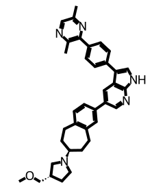 COC[C@H]1CCN([C@H]2CCc3ccc(-c4cnc5[nH]cc(-c6ccc(-c7nc(C)cnc7C)cc6)c5c4)cc3CC2)C1